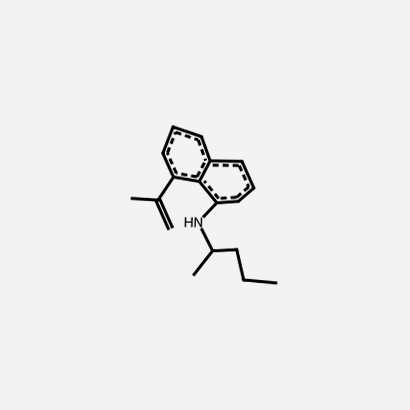 C=C(C)c1cccc2cccc(NC(C)CCC)c12